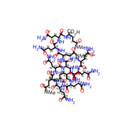 CNC(=O)CCC(NC(=O)C(CCC(N)=O)NC(=O)C(CCC(N)=O)NC(=O)C(CCC(=O)NC)NC(=O)C(CCC(N)=O)NC(=O)C(CCC(N)=O)NC(=O)C(CCC(=O)NC)NC(=O)C(CCC(N)=O)NC(=O)C(CCC(N)=O)NC(=O)C(CCC(=O)NC)NC(=O)C(CCC(N)=O)NC(=O)C(N)CCC(N)=O)C(=O)O